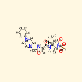 CC(C)[C@@H]1C(=O)N(S(C)(=O)=O)C2=CCN(C(=O)c3coc(CN4CCN(c5ccccc5)CC4)n3)[C@H]21